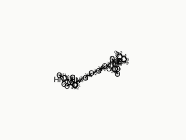 C[C@H]1C=C2C=C[C@H](C)[C@H](CC[C@@H]3C[C@@H](O)CC(=O)O3)[C@H]2[C@@H](OC(=O)NCCOCCOCCOCCOCCNc2cccc3c2C(=O)N(C2CCC(=O)NC2=O)C3=O)C1